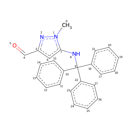 Cn1nc(C=O)cc1NC(c1ccccc1)(c1ccccc1)c1ccccc1